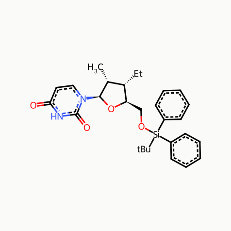 CC[C@H]1[C@@H](C)[C@H](n2ccc(=O)[nH]c2=O)O[C@@H]1CO[Si](c1ccccc1)(c1ccccc1)C(C)(C)C